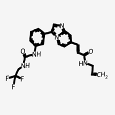 C=CCNC(=O)C=Cc1ccn2c(-c3cccc(NC(=O)NCC(F)(F)F)c3)cnc2c1